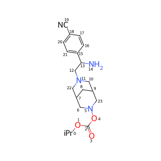 CC(C)OC(=O)ON1CC2CC(CN(CC(N)c3ccc(C#N)cc3)C2)C1